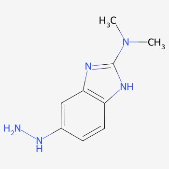 CN(C)c1nc2cc(NN)ccc2[nH]1